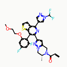 C=CC(=O)N1Cc2cc(-c3nc(-c4cnn(C(F)F)c4)c4ccsc4c3-c3c(F)cc(F)cc3OCCOC)nn2C[C@H]1C